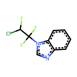 FC(Cl)C(F)(F)n1cnc2ccccc21